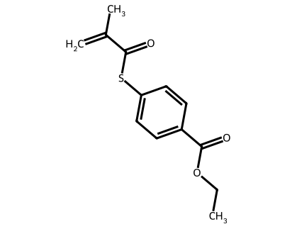 C=C(C)C(=O)Sc1ccc(C(=O)OCC)cc1